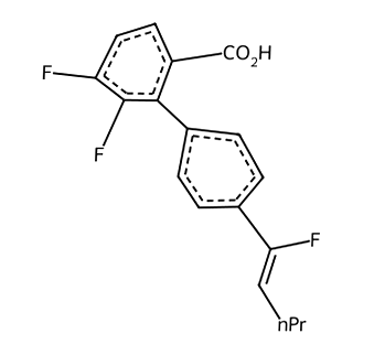 CCCC=C(F)c1ccc(-c2c(C(=O)O)ccc(F)c2F)cc1